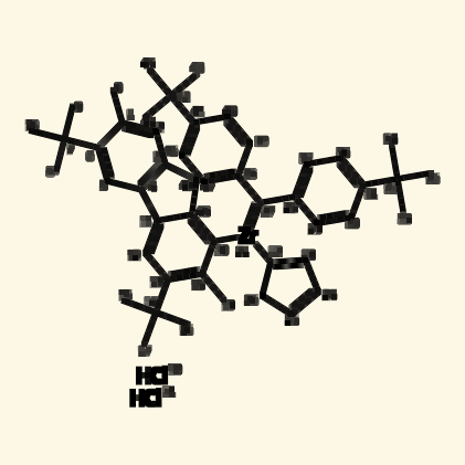 Cc1cc2c(cc1C(C)(C)C)-c1cc(C(C)(C)C)c(C)[c]([Zr]([C]3=CC=CC3)=[C](c3ccc(C(C)(C)C)cc3)c3ccc(C(C)(C)C)cc3)c1C2.Cl.Cl